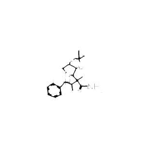 CC(Cc1ccccc1)C(C)(C(N)=O)C1NCC2OC(C)(C)OC21